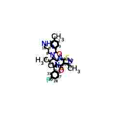 Cc1ccc(C(=O)N(CCCN)[C@@H](c2nc3snc(C)c3c(=O)n2Cc2cccc(F)c2)C(C)C)cc1